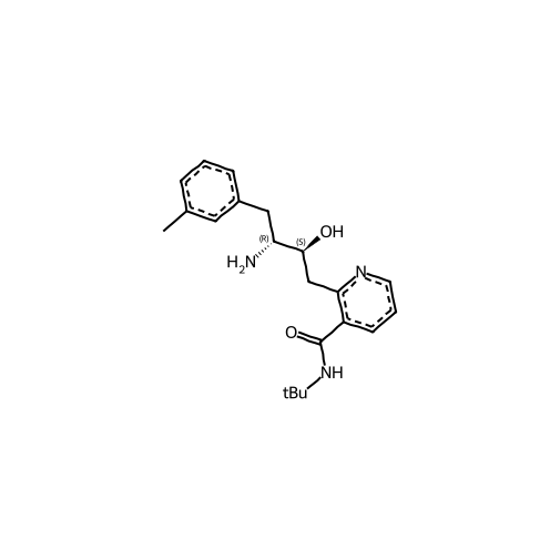 Cc1cccc(C[C@@H](N)[C@@H](O)Cc2ncccc2C(=O)NC(C)(C)C)c1